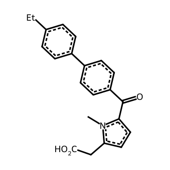 CCc1ccc(-c2ccc(C(=O)c3ccc(CC(=O)O)n3C)cc2)cc1